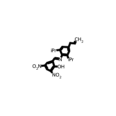 C=CCc1cc(C(C)C)c(/N=C/c2cc([N+](=O)[O-])cc([N+](=O)[O-])c2O)c(C(C)C)c1